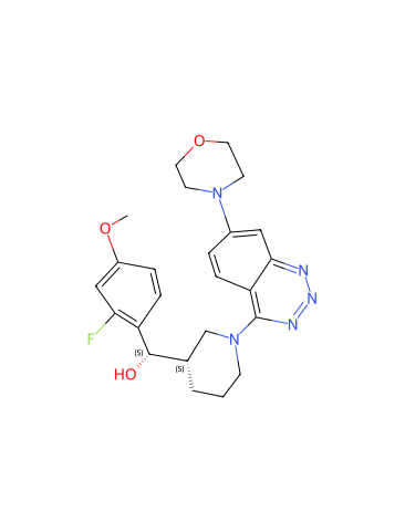 COc1ccc([C@@H](O)[C@H]2CCCN(c3nnnc4cc(N5CCOCC5)ccc34)C2)c(F)c1